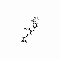 CO/C(=C\C=C\CN)Cc1ccc(CN)o1